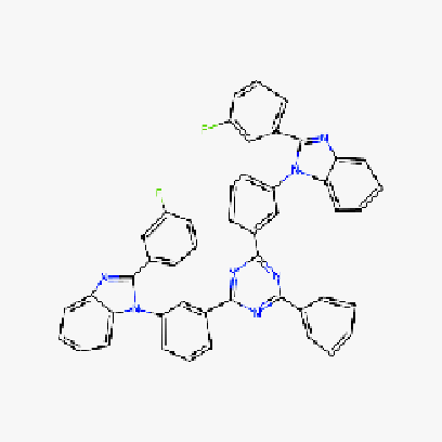 Fc1cccc(-c2nc3ccccc3n2-c2cccc(-c3nc(-c4ccccc4)nc(-c4cccc(-n5c(-c6cccc(F)c6)nc6ccccc65)c4)n3)c2)c1